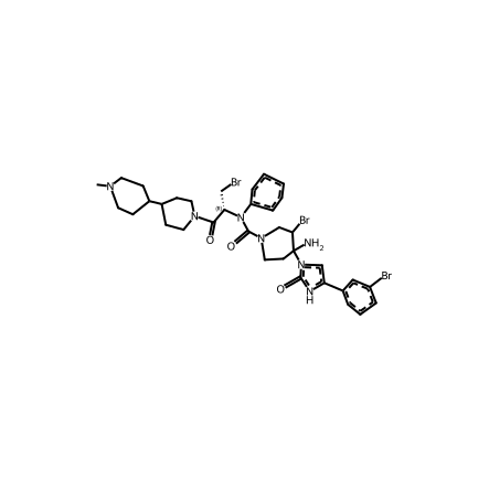 CN1CCC(C2CCN(C(=O)[C@H](CBr)N(C(=O)N3CCC(N)(n4cc(-c5cccc(Br)c5)[nH]c4=O)C(Br)C3)c3ccccc3)CC2)CC1